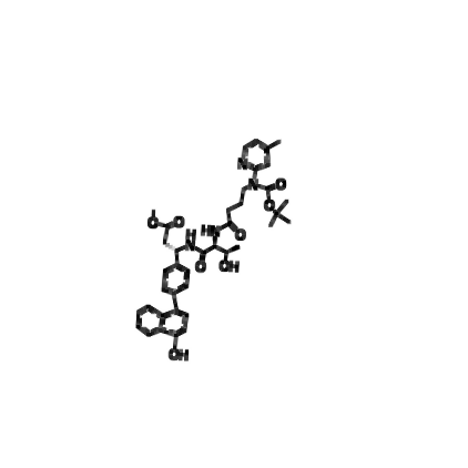 COC(=O)C[C@H](NC(=O)[C@@H](NC(=O)CCCN(C(=O)OC(C)(C)C)c1cc(C)ccn1)[C@@H](C)O)c1ccc(-c2ccc(O)c3ccccc23)cc1